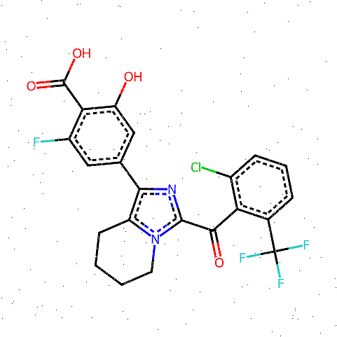 O=C(O)c1c(O)cc(-c2nc(C(=O)c3c(Cl)cccc3C(F)(F)F)n3c2CCCC3)cc1F